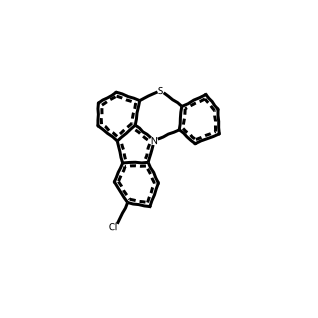 Clc1ccc2c(c1)c1cccc3c1n2-c1ccccc1S3